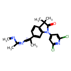 C=N/C(C)=N\C=C(/C)c1ccc2c(c1)N(c1cc(Cl)nc(Cl)c1)C(=O)C2(C)C